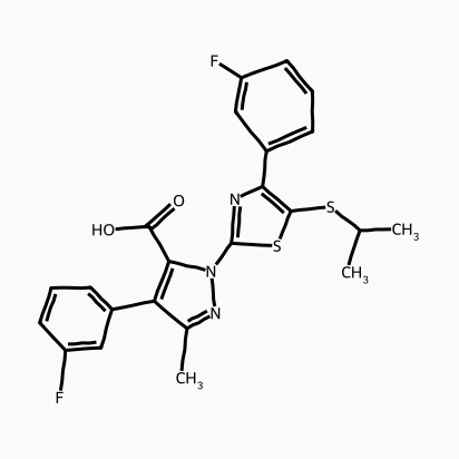 Cc1nn(-c2nc(-c3cccc(F)c3)c(SC(C)C)s2)c(C(=O)O)c1-c1cccc(F)c1